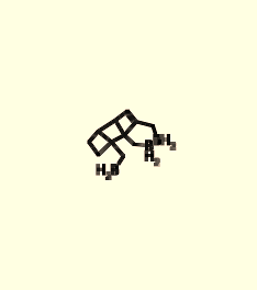 BCC1=CC2C3CCC3(CB)C12CB